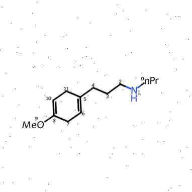 CCCNCCCC1=CCC(OC)=CC1